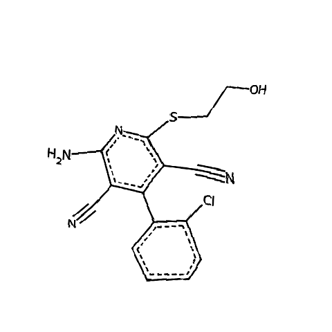 N#Cc1c(N)nc(SCCO)c(C#N)c1-c1ccccc1Cl